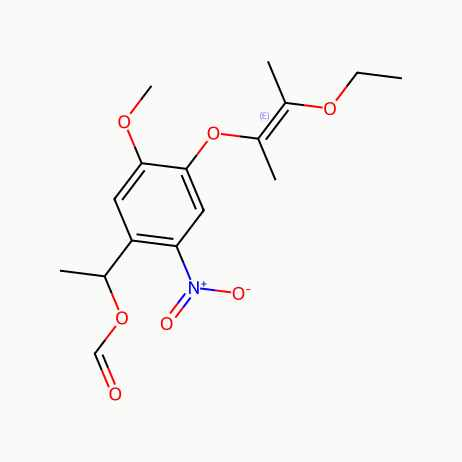 CCO/C(C)=C(\C)Oc1cc([N+](=O)[O-])c(C(C)OC=O)cc1OC